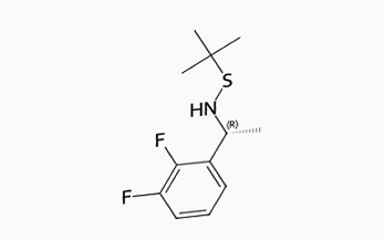 C[C@@H](NSC(C)(C)C)c1cccc(F)c1F